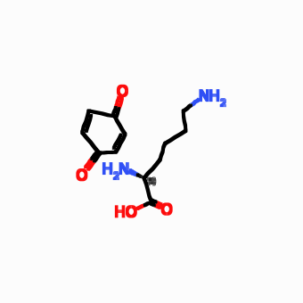 NCCCC[C@H](N)C(=O)O.O=C1C=CC(=O)C=C1